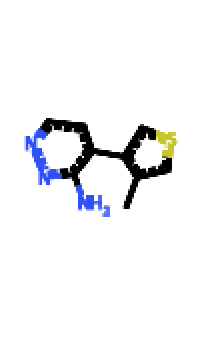 Cc1cscc1-c1ccnnc1N